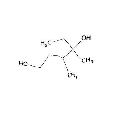 CCC(C)(O)C(C)CCO